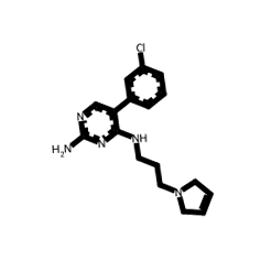 Nc1ncc(-c2cccc(Cl)c2)c(NCCCN2CC=CC2)n1